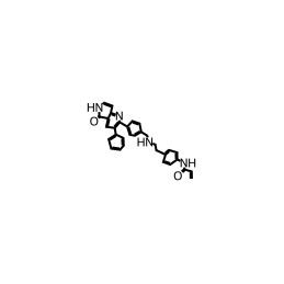 C=CC(=O)Nc1ccc(CCNCc2ccc(-c3nc4cc[nH]c(=O)c4cc3-c3ccccc3)cc2)cc1